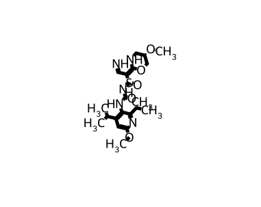 COc1cc(C(C)C)c(NC(=O)/N=[SH](=O)/C(C=N)=C2/NC[C@H](OC)CO2)c(C(C)C)n1